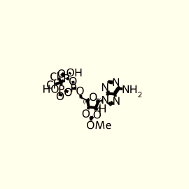 COC1OC2[C@@H](COP3OP(=O)(O)C(Cl)(Cl)P(=O)(O)O3)O[C@@H](n3cnc4c(N)ncnc43)[C@H]2O1